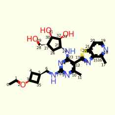 CCO[C@H]1C[C@@H](CNc2nc(C)c(-c3nc4c(C)nccc4s3)c(N[C@@H]3C[C@H](CO)[C@@H](O)[C@H]3O)n2)C1